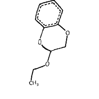 CCOC1COc2ccccc2O1